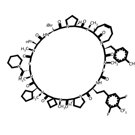 CCC[C@H]1C(=O)N[C@@H]([C@@H](C)CC)C(=O)N2CCC[C@H]2C(=O)N(C)[C@H]2C/C=C\CCN(C2=O)[C@@H](Cc2ccc(C)cc2)C(=O)N(C)CC(=O)N[C@@H](CCc2cc(F)c(C(F)(F)F)c(F)c2)C(=O)N2CCC[C@H]2C(=O)N(C)C2(CCC2)C(=O)N(C)[C@@H](C2CCCC2)C(=O)N(C)[C@H](C(=O)N2CCCCC2)CC(=O)N1C